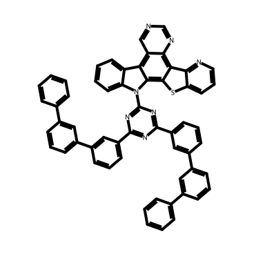 c1ccc(-c2cccc(-c3cccc(-c4nc(-c5cccc(-c6cccc(-c7ccccc7)c6)c5)nc(-n5c6ccccc6c6c7cncnc7c7c8ncccc8sc7c65)n4)c3)c2)cc1